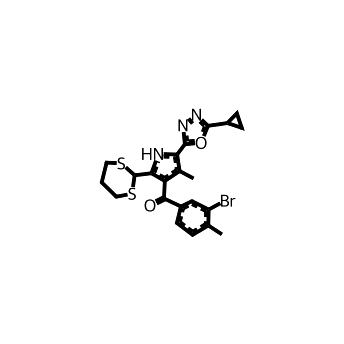 Cc1ccc(C(=O)c2c(C3SCCCS3)[nH]c(-c3nnc(C4CC4)o3)c2C)cc1Br